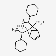 CC(N1CCCCC1)C1(C(=O)O)C2C=CC(C2)C1(C(=O)O)C(C)N1CCCCC1